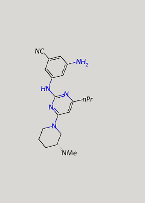 CCCc1cc(N2CCC[C@@H](NC)C2)nc(Nc2cc(N)cc(C#N)c2)n1